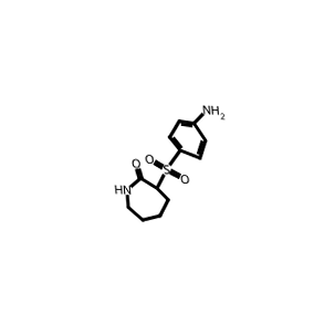 Nc1ccc(S(=O)(=O)C2CCCCNC2=O)cc1